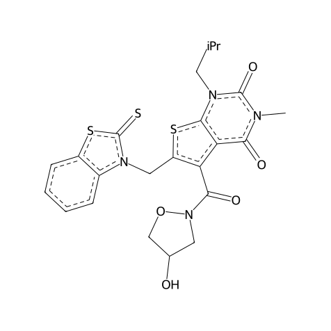 CC(C)Cn1c(=O)n(C)c(=O)c2c(C(=O)N3CC(O)CO3)c(Cn3c(=S)sc4ccccc43)sc21